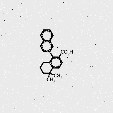 CC1(C)CCCc2c1ccc(C(=O)O)c2-c1ccc2ccccc2c1